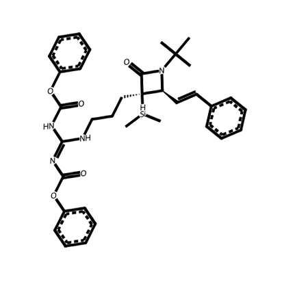 C[SiH](C)[C@@]1(CCCN/C(=N\C(=O)Oc2ccccc2)NC(=O)Oc2ccccc2)C(=O)N(C(C)(C)C)[C@H]1/C=C/c1ccccc1